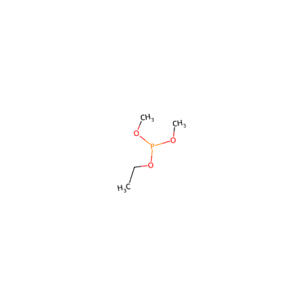 CCOP(OC)OC